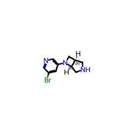 Brc1cncc(N2C[C@H]3CNC[C@H]32)c1